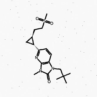 Cn1c(=O)n(CC(C)(C)C)c2ccc([C@@H]3C[C@H]3CCS(C)(=O)=O)nc21